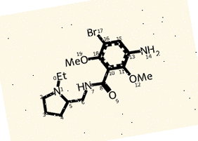 CCN1CCCC1CNC(=O)c1c(OC)c(N)cc(Br)c1OC